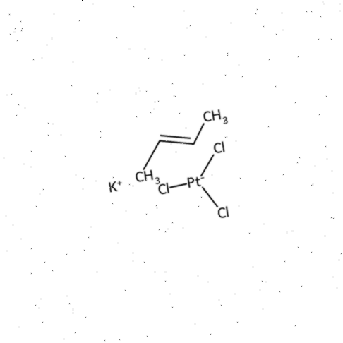 CC=CC.[Cl][Pt-]([Cl])[Cl].[K+]